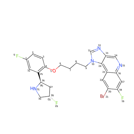 Fc1ccc(OCCCCn2cnc3cnc4cc(F)c(Br)cc4c32)c([C@H]2C[C@H](F)CN2)c1